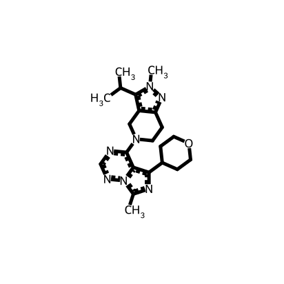 Cc1nc(C2CCOCC2)c2c(N3CCc4nn(C)c(C(C)C)c4C3)ncnn12